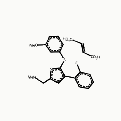 CNCc1cc(-c2ccccc2F)c(Sc2cccc(OC)c2)s1.O=C(O)C=CC(=O)O